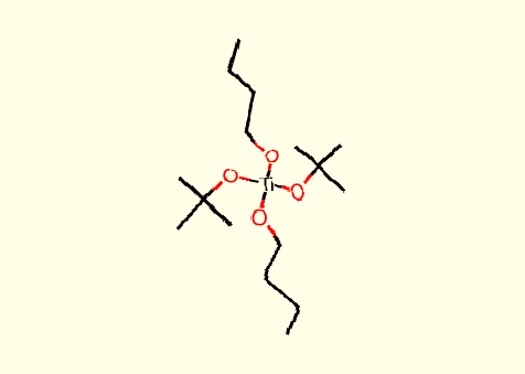 CCCC[O][Ti]([O]CCCC)([O]C(C)(C)C)[O]C(C)(C)C